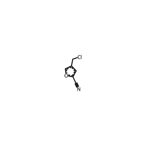 N#Cc1cc(CCl)co1